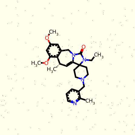 CCN1C(=O)N2Cc3cc(OC)cc(OC)c3[C@@H](C)C=C2C12CCN(Cc1cccnc1C)CC2